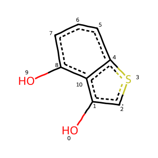 Oc1[c]sc2cccc(O)c12